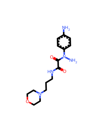 Nc1ccc(N(N)C(=O)C(=O)NCCCN2CCOCC2)cc1